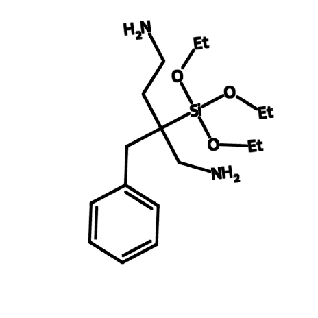 CCO[Si](OCC)(OCC)C(CN)(CCN)Cc1ccccc1